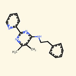 Cc1nc(-c2ccccn2)nc(NCCc2ccccc2)c1C